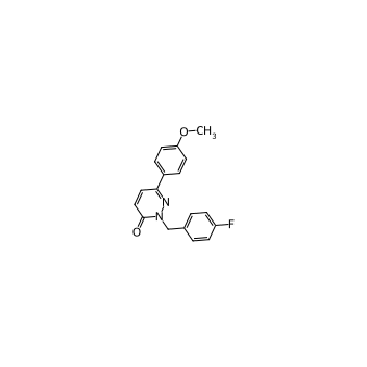 COc1ccc(-c2ccc(=O)n(Cc3ccc(F)cc3)n2)cc1